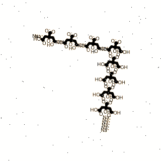 O=C(O)CC(O)(CC(=O)O)C(=O)[O-].O=C(O)CC(O)(CC(=O)O)C(=O)[O-].O=C(O)CC(O)(CC(=O)O)C(=O)[O-].O=C(O)CC(O)(CC(=O)O)C(=O)[O-].O=C(O)CC(O)(CC(=O)O)C(=O)[O-].O=C(O)CC(O)(CC(=O)O)C(=O)[O-].O=C(O)CC(O)(CC(=O)O)C(=O)[O-].O=C(O)CC(O)(CC(=O)O)C(=O)[O-].[Na+].[Na+].[Na+].[Na+].[Na+].[Na+].[Na+].[Na+]